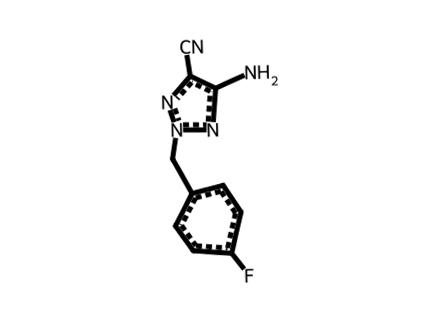 N#Cc1nn(Cc2ccc(F)cc2)nc1N